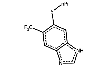 CCCSc1cc2[nH]cnc2cc1C(F)(F)F